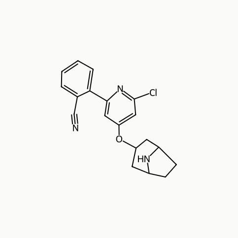 N#Cc1ccccc1-c1cc(OC2CC3CCC(C2)N3)cc(Cl)n1